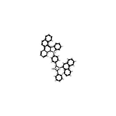 C1=CC2=c3ccc4ccccc4c3=C3c4ccccc4N(c4ccc(C5NC(c6ccccc6)N5c5cc6ccccc6c6ccccc56)cc4)C3C2C=C1